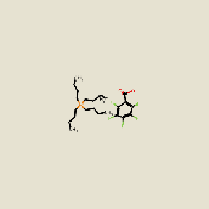 CCCC[P+](CCCC)(CCCC)CCCC.O=C([O-])c1c(F)c(F)c(F)c(F)c1F